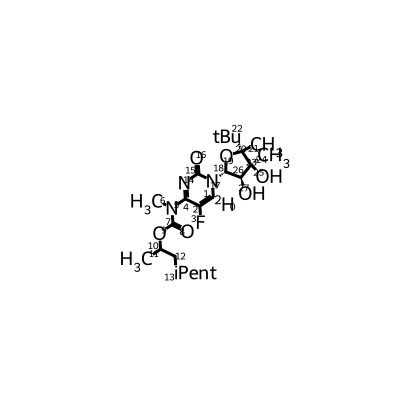 [2H]c1c(F)c(N(C)C(=O)OC(C)CC(C)CCC)nc(=O)n1[C@@H]1O[C@](C)(C(C)(C)C)[C@@](C)(O)[C@H]1O